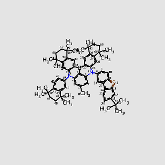 Cc1cc2c3c(c1)N(c1ccc4sc5cc(C(C)(C)C)ccc5c4c1)c1cc4c(cc1B3c1cc3c(cc1N2c1ccc2c(c1)C(C)(C)CCC2(C)C)C(C)(C)CCC3(C)C)C(C)(C)CCC4(C)C